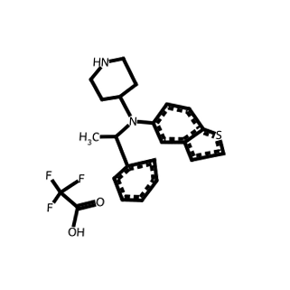 CC(c1ccccc1)N(c1ccc2sccc2c1)C1CCNCC1.O=C(O)C(F)(F)F